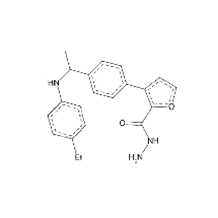 CCc1ccc(NC(C)c2ccc(-c3ccoc3C(=O)NN)cc2)cc1